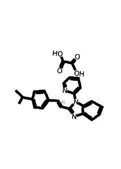 CC(C)c1ccc(/C=C/c2nc3ccccc3n2-c2ccccn2)cc1.O=C(O)C(=O)O